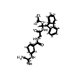 CCC(=O)OC(C)(NC(=O)CNC(=O)c1cccc(NC(=N)N)c1)C1c2ccccc2-c2ccccc21